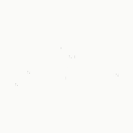 CCNC(F)(c1ccc(C#N)cc1)C1CCC(n2ccnc2)=C1C